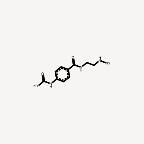 CCCC(=O)Nc1ccc(C(=O)NCCNC(C)C)cc1